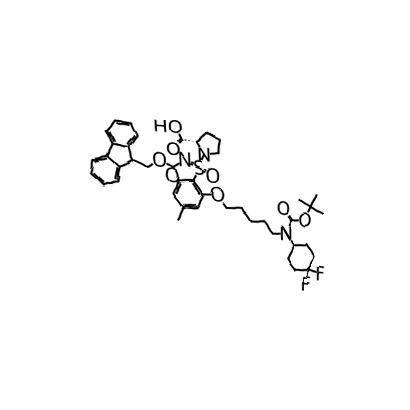 Cc1ccc(S(=O)(=NC(=O)OCC2c3ccccc3-c3ccccc32)N2CCC[C@H]2C(=O)O)c(OCCCCCN(C(=O)OC(C)(C)C)C2CCC(F)(F)CC2)c1